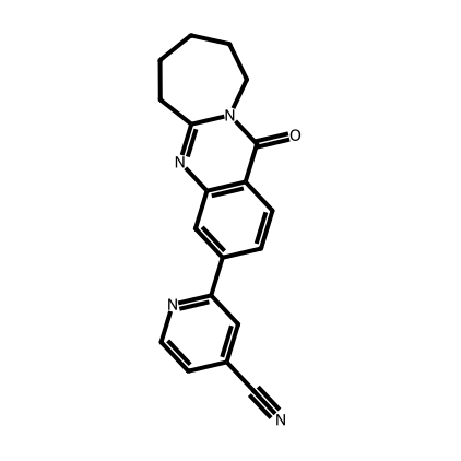 N#Cc1ccnc(-c2ccc3c(=O)n4c(nc3c2)CCCCC4)c1